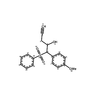 C#CCC(O)C(c1ccc(OC)cc1)S(=O)(=O)c1ccccc1